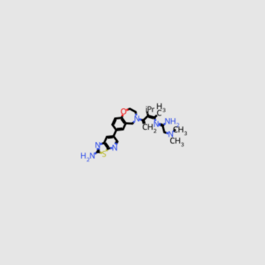 C=C(/C(=C(C)\N=C(/N)CN(C)C)C(C)C)N1CCOc2ccc(-c3cnc4sc(N)nc4c3)cc2C1